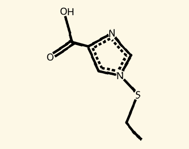 CCSn1cnc(C(=O)O)c1